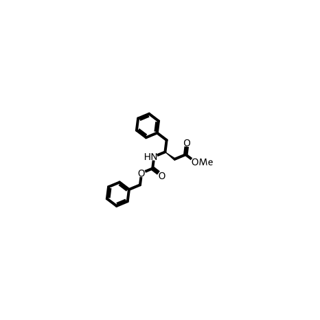 COC(=O)C[C@H](Cc1ccccc1)NC(=O)OCc1ccccc1